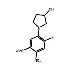 COc1cc(N2CCC(O)C2)c(Br)cc1[N+](=O)[O-]